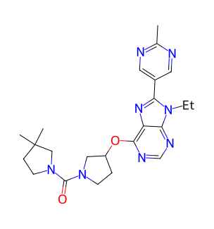 CCn1c(-c2cnc(C)nc2)nc2c(OC3CCN(C(=O)N4CCC(C)(C)C4)C3)ncnc21